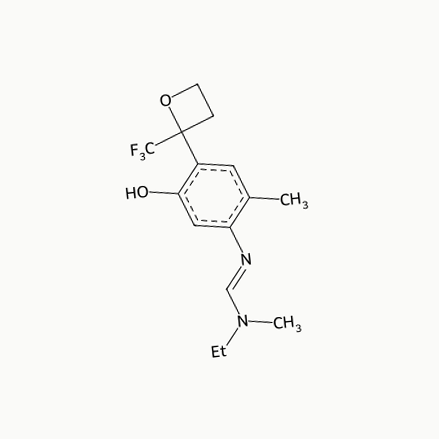 CCN(C)C=Nc1cc(O)c(C2(C(F)(F)F)CCO2)cc1C